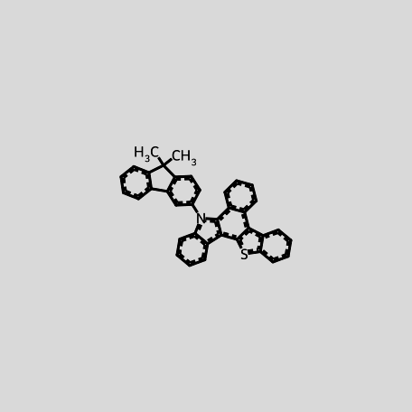 CC1(C)c2ccccc2-c2cc(-n3c4ccccc4c4c5sc6ccccc6c5c5ccccc5c43)ccc21